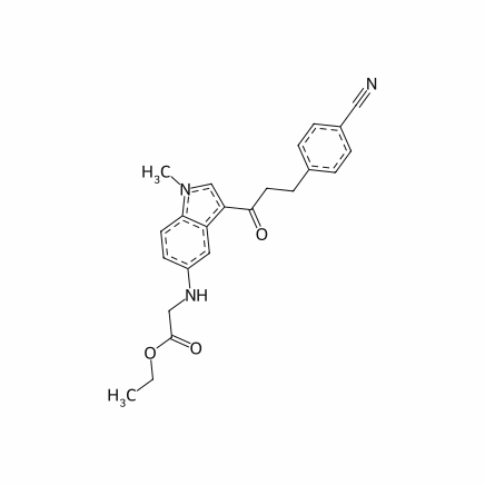 CCOC(=O)CNc1ccc2c(c1)c(C(=O)CCc1ccc(C#N)cc1)cn2C